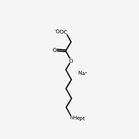 CCCCCCCCCCCCOC(=O)CC(=O)[O-].[Na+]